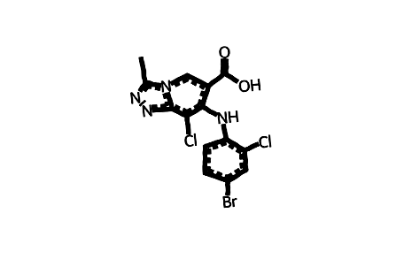 Cc1nnc2c(Cl)c(Nc3ccc(Br)cc3Cl)c(C(=O)O)cn12